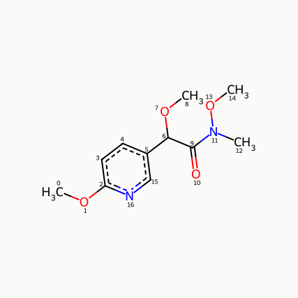 COc1ccc(C(OC)C(=O)N(C)OC)cn1